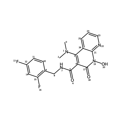 CN(C)c1c(C(=O)NCc2ccc(F)cc2F)c(=O)n(O)c2ncccc12